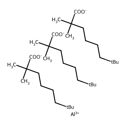 CC(C)(C)CCCCC(C)(C)C(=O)[O-].CC(C)(C)CCCCC(C)(C)C(=O)[O-].CC(C)(C)CCCCC(C)(C)C(=O)[O-].[Al+3]